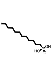 O=P(O)(O)CCCCCCCCCCCI